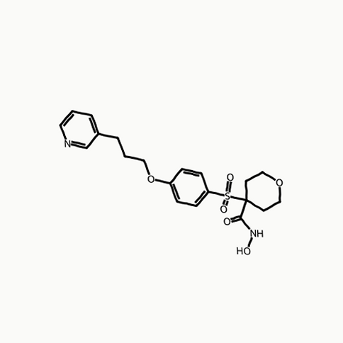 O=C(NO)C1(S(=O)(=O)c2ccc(OCCCc3cccnc3)cc2)CCOCC1